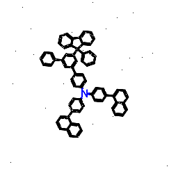 c1ccc(-c2cc(-c3ccc(N(c4ccc(-c5cccc6ccccc56)cc4)c4ccc(-c5cccc6ccccc56)cc4)cc3)cc(C3(c4ccccc4)c4ccccc4-c4ccccc43)c2)cc1